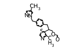 Cc1cnn(Cc2ccc(CC(COC=O)c3scnc3C)cc2)c1